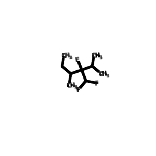 CCC(C)C(F)([C](F)F)C(C)C